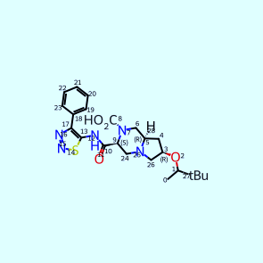 CC(O[C@@H]1C[C@@H]2CN(C(=O)O)[C@H](C(=O)Nc3snnc3-c3ccccc3)CN2C1)C(C)(C)C